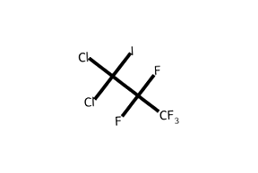 FC(F)(F)C(F)(F)C(Cl)(Cl)I